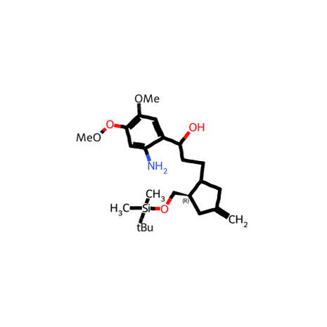 C=C1CC(CCC(O)c2cc(OC)c(OOC)cc2N)[C@H](CO[Si](C)(C)C(C)(C)C)C1